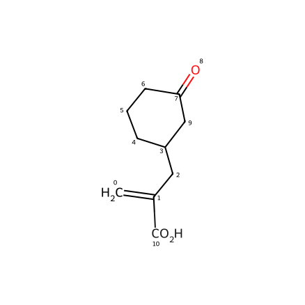 C=C(CC1CCCC(=O)C1)C(=O)O